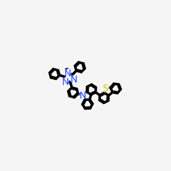 C=N/C(=N\C(=N/Cc1ccccc1)c1cccc(-n2c3ccccc3c3c(-c4cccc5c4sc4ccccc45)cccc32)c1)c1ccccc1